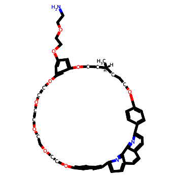 C[C@@H]1CCCOc2ccc(cc2)-c2ccc3ccc4ccc(nc4c3n2)-c2ccc(cc2)OCCOCCOCCOCCOc2cc(OCCOCCN)cc(c2)OCC1